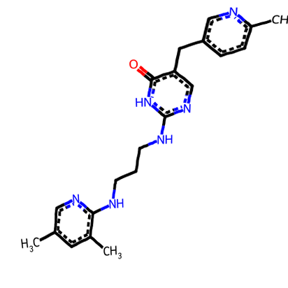 Cc1cnc(NCCCNc2ncc(Cc3ccc(C)nc3)c(=O)[nH]2)c(C)c1